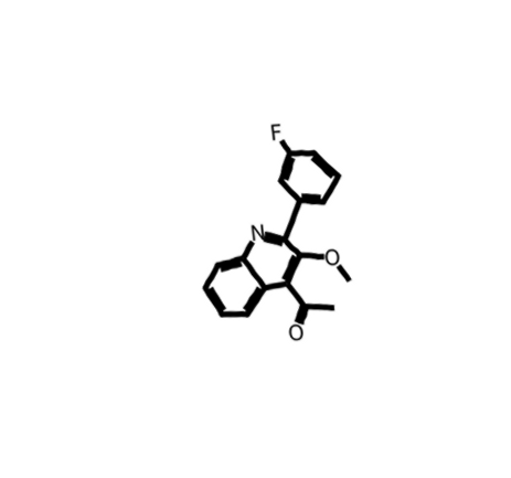 COc1c(-c2cccc(F)c2)nc2ccccc2c1C(C)=O